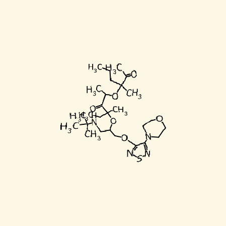 CCCC(C)(OC(C)C(=O)C(C)(CC)OC(CNC(C)(C)C)COc1nsnc1N1CCOCC1)C(C)=O